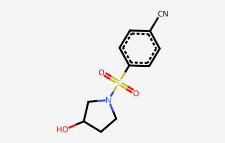 N#Cc1ccc(S(=O)(=O)N2CCC(O)C2)cc1